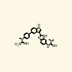 CN(C)C(=N)N(C)c1ccc2nc(-c3c[nH]c4ccc(-c5ccc(N(C)C(=N)N)cc5)cc34)[nH]c2c1